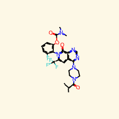 CC(C)C(=O)N1CCN(c2ncnc3c(=O)n(-c4c(F)cccc4OC(=O)N(C)C)c(C(F)(F)F)cc23)CC1